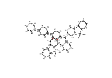 CC1(C)c2ccccc2-c2ccc(N(c3ccc(-c4ccc(-c5ccccc5)cc4)cc3)c3ccccc3-c3cccc4c3C(C)(C)c3ccccc3-4)cc21